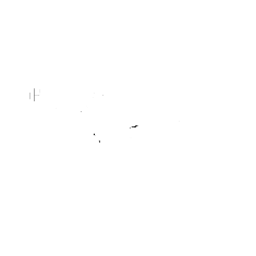 CC(C)(C)OC(=O)N1CCC[C@@H]1COc1ccccc1